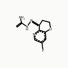 C=C(N)N/N=C1/CCOc2cc(F)cnc21